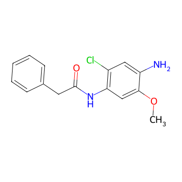 COc1cc(NC(=O)Cc2ccccc2)c(Cl)cc1N